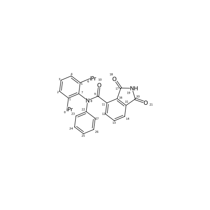 CC(C)c1cccc(C(C)C)c1N(C(=O)c1cccc2c1C(=O)NC2=O)c1ccccc1